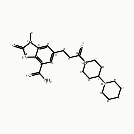 Cn1c(=O)[nH]c2c(C(N)=O)cc(C[CH]C(=O)N3CCC(N4CCCCC4)CC3)cc21